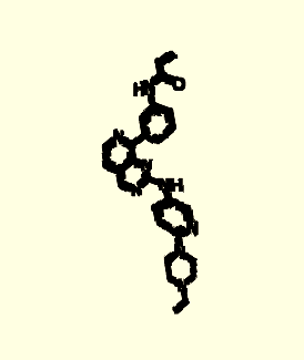 C=CC(=O)Nc1cccc(-c2nccc3cnc(Nc4ccc(N5CCN(CC)CC5)nc4)nc23)c1